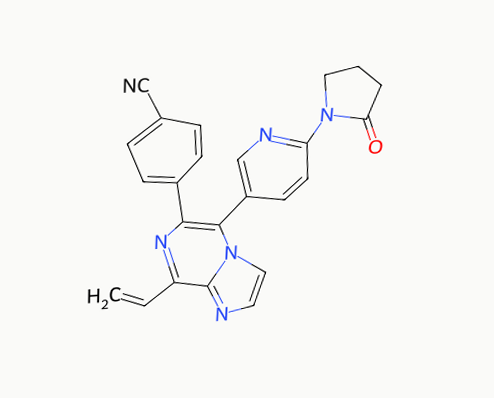 C=Cc1nc(-c2ccc(C#N)cc2)c(-c2ccc(N3CCCC3=O)nc2)n2ccnc12